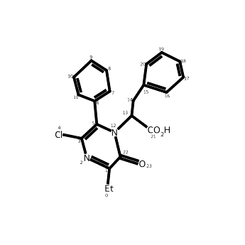 CCc1nc(Cl)c(-c2ccccc2)n(C(Cc2ccccc2)C(=O)O)c1=O